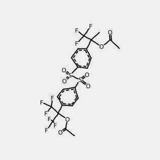 CC(=O)OC(C)(c1ccc(S(=O)(=O)S(=O)(=O)c2ccc(C(OC(C)=O)(C(F)(F)F)C(F)(F)F)cc2)cc1)C(F)(F)F